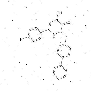 O=C1C(Cc2ccc(-c3ccccc3)cc2)NC(c2ccc(F)cc2)=CN1O